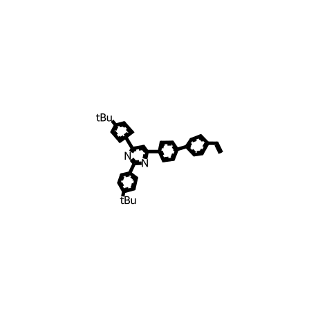 C=Cc1ccc(-c2ccc(-c3cc(-c4ccc(C(C)(C)C)cc4)nc(-c4ccc(C(C)(C)C)cc4)n3)cc2)cc1